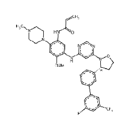 C=CC(=O)Nc1cc(Nc2cc(N3OCC[C@@H]3c3cccc(-c4cc(F)cc(C(F)(F)F)c4)c3)ncn2)c(OC)cc1N1CCN(C)CC1